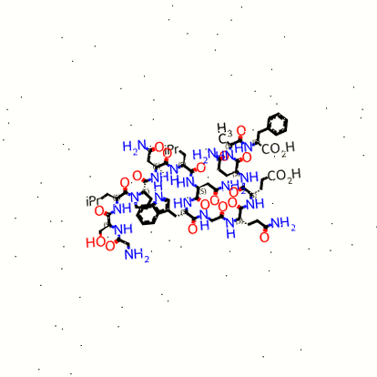 CC(C)C[C@H](NC(=O)[C@H](CC(N)=O)NC(=O)[C@@H]1CCCN1C(=O)[C@H](CC(C)C)NC(=O)[C@H](CO)NC(=O)CN)C(=O)N[C@@H](CC(N)=O)C(=O)N[C@@H](Cc1c[nH]c2ccccc12)C(=O)NCC(=O)N[C@@H](CCC(N)=O)C(=O)N[C@@H](CCC(=O)O)C(=O)N[C@@H](CCC(N)=O)C(=O)N[C@@H](C)C(=O)N[C@@H](Cc1ccccc1)C(=O)O